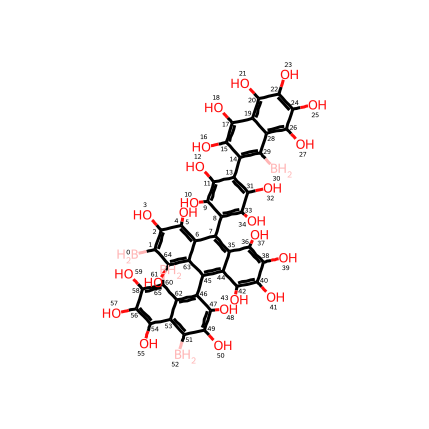 Bc1c(O)c(O)c2c(-c3c(O)c(O)c(-c4c(O)c(O)c5c(O)c(O)c(O)c(O)c5c4B)c(O)c3O)c3c(O)c(O)c(O)c(O)c3c(-c3c(O)c(O)c(B)c4c(O)c(O)c(O)c(B)c34)c2c1O